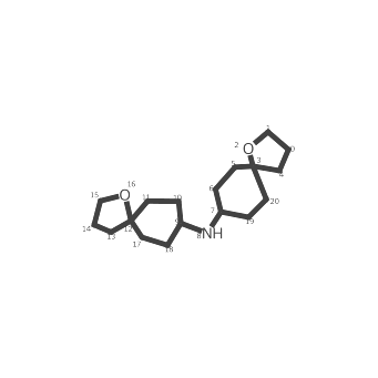 C1COC2(C1)CCC(NC1CCC3(CCCO3)CC1)CC2